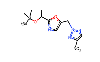 CC(O[Si](C)(C)C(C)(C)C)c1ncc(Cn2ncc([N+](=O)[O-])n2)o1